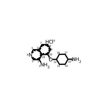 Cl.Nc1cncc2cccc(OC3CCC(N)CC3)c12